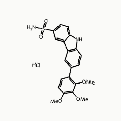 COc1ccc(-c2ccc3[nH]c4ccc(S(N)(=O)=O)cc4c3c2)c(OC)c1OC.Cl